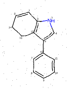 C1=Cc2[nH]cc(-c3ccccc3)c2CC1